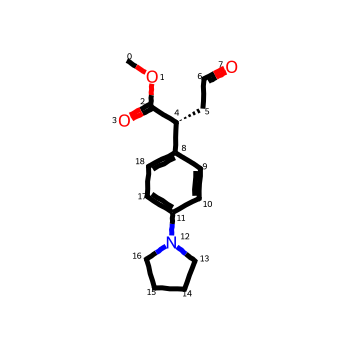 COC(=O)[C@H](CC=O)c1ccc(N2CCCC2)cc1